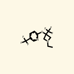 CCN1CC(Oc2ccc(C(F)(F)F)cn2)(C(F)(F)F)C1